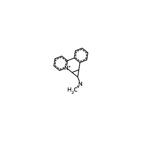 C=NC1C2c3ccccc3-c3cccc[n+]3C12